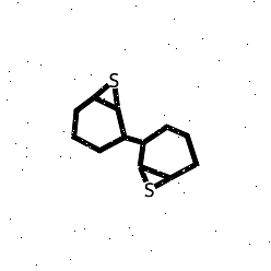 C1CC2SC2C(C2CCCC3SC32)C1